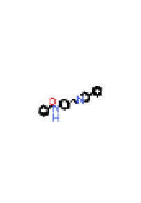 O=C(N[C@H]1CC[C@H](CCN2CC=C(c3ccccc3)CC2)CC1)c1ccccc1